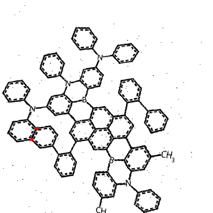 Cc1ccc2c(c1)N(c1ccccc1)c1cc(C)cc3c1B2c1cc2c(-c4ccccc4-c4ccccc4)cc4c5c(cc6c(-c7ccccc7-c7ccccc7)cc-3c1c6c25)B1c2ccc(N(c3ccccc3)c3ccccc3)cc2N(c2ccccc2)c2cc(N(c3ccccc3)c3ccccc3)cc-4c21